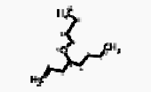 C=CCC(CCCC)OCCCC